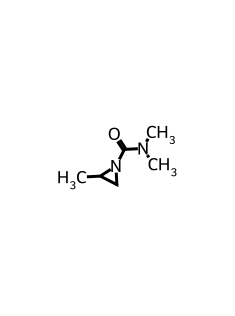 CC1CN1C(=O)N(C)C